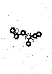 c1ccc(-c2nc(-c3cccc(-c4cccc5c4oc4ccccc45)c3)nc3c2sc2cc4ccccc4cc23)cc1